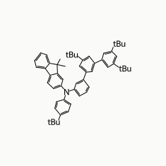 CC(C)(C)c1ccc(N(c2cccc(-c3cc(-c4cc(C(C)(C)C)cc(C(C)(C)C)c4)cc(C(C)(C)C)c3)c2)c2ccc3c(c2)C(C)(C)c2ccccc2-3)cc1